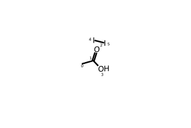 CC(=O)O.II